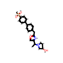 CC(c1coc(Cc2ccc(-c3ccc(S(C)(=O)=O)cc3)cc2)n1)N1CC[C@@H](O)C1